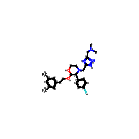 CN(C)Cc1nc(CN2CCOC(OCCc3cc(C(F)(F)F)cc(C(F)(F)F)c3)C2c2ccc(F)cc2)n[nH]1